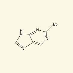 C[CH]c1ncc2nc[nH]c2n1